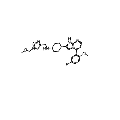 COCn1cc(CN[C@H]2CC[C@H](c3cc4c(-c5cc(F)ccc5OC)ccnc4[nH]3)CC2)nn1